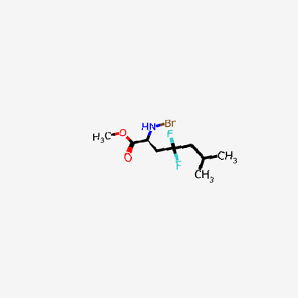 COC(=O)[C@H](CC(F)(F)CC(C)C)NBr